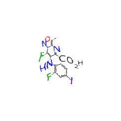 Cc1onc2c(F)c(Nc3ccc(I)cc3F)c(C(=O)O)nc12